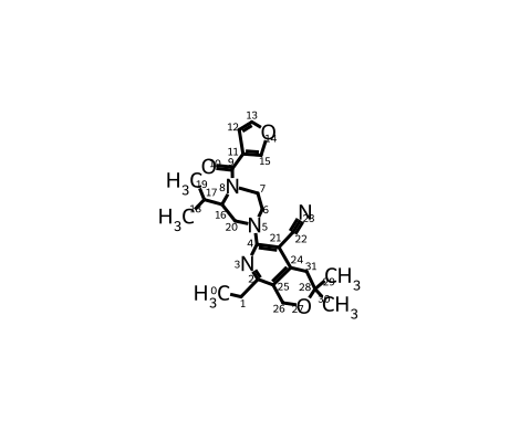 CCc1nc(N2CCN(C(=O)c3ccoc3)C(C(C)C)C2)c(C#N)c2c1COC(C)(C)C2